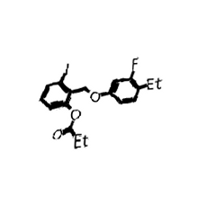 CCC(=O)Oc1cccc(I)c1COc1ccc(CC)c(F)c1